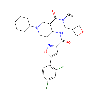 CN(CC1COC1)C(=O)C1CN(C2CCCCC2)CCC1NC(=O)c1cc(-c2ccc(F)cc2F)on1